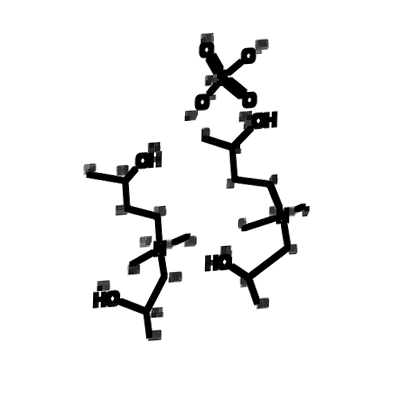 CC(O)CC[N+](C)(C)CC(C)O.CC(O)CC[N+](C)(C)CC(C)O.O=S(=O)([O-])[O-]